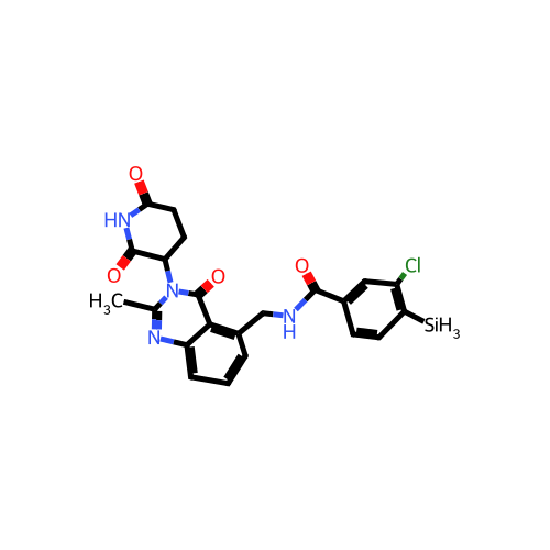 Cc1nc2cccc(CNC(=O)c3ccc([SiH3])c(Cl)c3)c2c(=O)n1C1CCC(=O)NC1=O